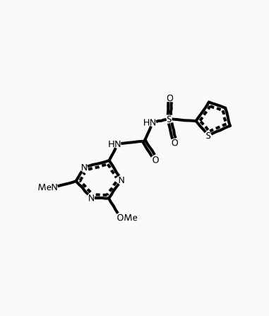 CNc1nc(NC(=O)NS(=O)(=O)c2cccs2)nc(OC)n1